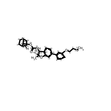 COCCOc1cccc(-c2ccc3c(c2)OC(C)(C)C3NC(=O)O[C@H]2CN3CCC2CC3)c1